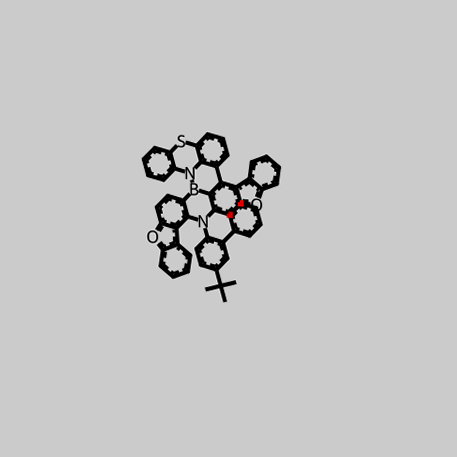 CC(C)(C)c1ccc(N2c3cc4oc5ccccc5c4c4c3B(c3ccc5oc6ccccc6c5c32)N2c3ccccc3Sc3cccc-4c32)c(-c2ccccc2)c1